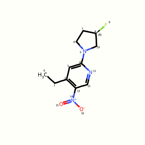 CCc1cc(N2CC[C@@H](F)C2)ncc1[N+](=O)[O-]